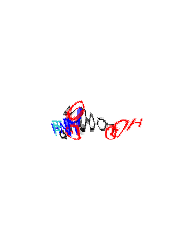 CCC1CN(C(=O)Nc2ccccc2C(F)(F)F)c2ccc(-c3ccc([C@H]4CC[C@H](CC(=O)O)CC4)cc3)cc2O1